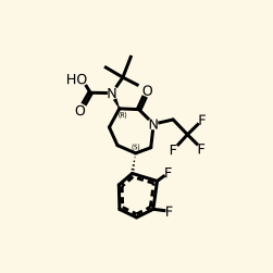 CC(C)(C)N(C(=O)O)[C@@H]1CC[C@@H](c2cccc(F)c2F)CN(CC(F)(F)F)C1=O